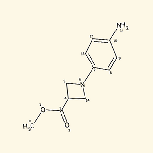 COC(=O)C1CN(c2ccc(N)cc2)C1